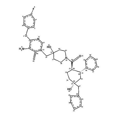 Nc1c(Oc2ccc(F)cc2)ncn(CC2(O)CCN(C(=O)[C@@H]3CC[C@](O)(Cc4ccccc4)C[C@H]3c3ccccc3)CC2)c1=O